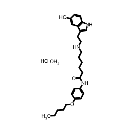 CCCCCOc1ccc(NC(=O)CCCCCNCCc2c[nH]c3ccc(O)cc23)cc1.Cl.O